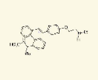 CCN(CC)CCOc1ccc(/C=C/c2ccccc2-c2ccccc2C(NC(=O)O)C(C)(C)C)cc1